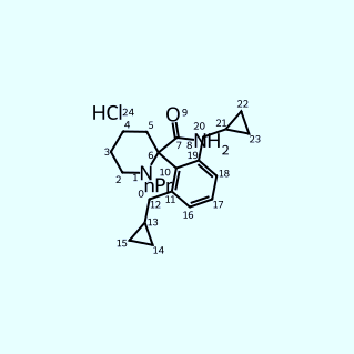 CCCN1CCCCC1(C(N)=O)c1c(CC2CC2)cccc1CC1CC1.Cl